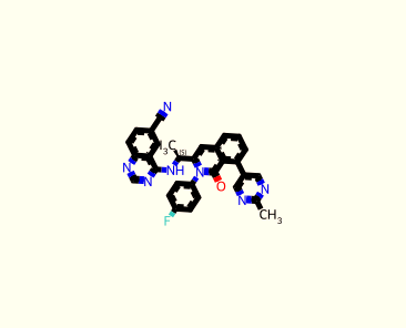 Cc1ncc(-c2cccc3cc([C@H](C)Nc4ncnc5ccc(C#N)cc45)n(-c4ccc(F)cc4)c(=O)c23)cn1